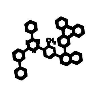 CC1CC(c2ccc3ccccc3c2-c2ccc3c4ccccc4c4ccccc4c3c2)=CC=C1c1nc(-c2ccccc2)nc(-c2cccc(-c3ccccc3)c2)n1